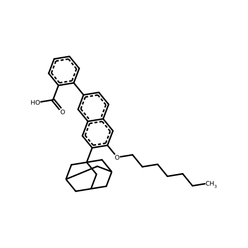 CCCCCCCOc1cc2ccc(-c3ccccc3C(=O)O)cc2cc1C12CC3CC(CC(C3)C1)C2